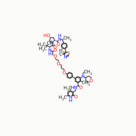 CCN(c1cc(-c2ccc(OCCCOCCOCC(=O)N[C@H](C(=O)N3C[C@H](O)C[C@H]3C(=O)N[C@@H](C)c3ccc(-c4scnc4C)cc3)C(C)(C)C)cc2)cc(C(=O)NCc2c(C)cc(C)[nH]c2=O)c1C)C1CCOCC1